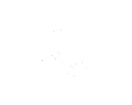 c1ccc(-c2ccc(-c3nc(-c4ccc5c6c(cccc46)-c4ccc(-c6ccccc6)cc4N5c4ccccc4)nc4c3sc3ccccc34)cc2)cc1